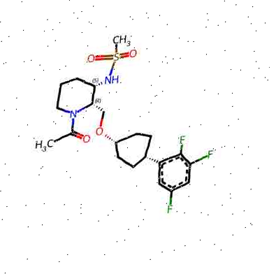 CC(=O)N1CCC[C@H](NS(C)(=O)=O)[C@@H]1CO[C@H]1CC[C@@H](c2cc(F)cc(F)c2F)CC1